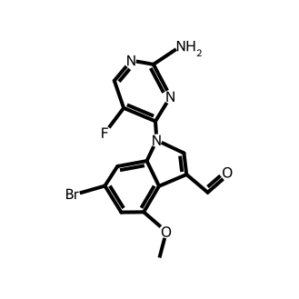 COc1cc(Br)cc2c1c(C=O)cn2-c1nc(N)ncc1F